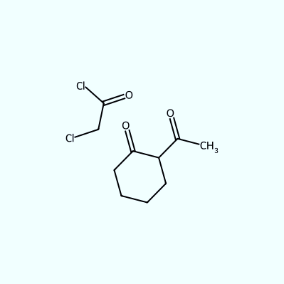 CC(=O)C1CCCCC1=O.O=C(Cl)CCl